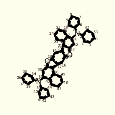 c1ccc(N(c2ccccc2)c2cc3oc4cc5c(cc4c3c3ccccc23)oc2cc(N(c3ccccc3)c3ccccc3)c3ccccc3c25)cc1